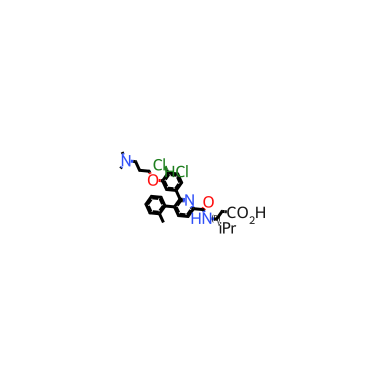 Cc1ccccc1-c1ccc(C(=O)N[C@H](CC(=O)O)C(C)C)nc1-c1ccc(Cl)c(OCCCN(C)C)c1.Cl